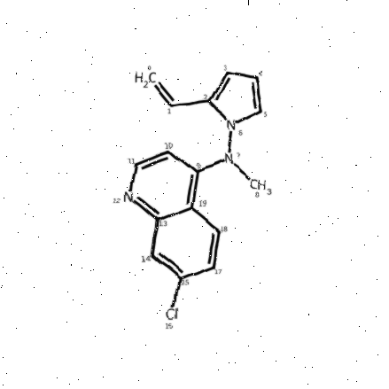 C=Cc1cccn1N(C)c1ccnc2cc(Cl)ccc12